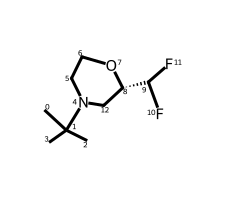 CC(C)(C)N1CCO[C@H](C(F)F)C1